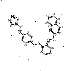 c1ccc(SCc2ccc(OCn3cnnn3)cc2)c(OCc2ccc3ccccc3n2)c1